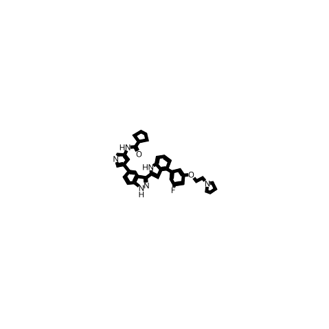 O=C(Nc1cncc(-c2ccc3[nH]nc(-c4cc5c(-c6cc(F)cc(OCCN7CCCC7)c6)cccc5[nH]4)c3c2)c1)C1CCCC1